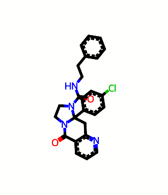 O=C(NCCc1ccccc1)N1CCN2C(=O)c3cccnc3CC12c1ccc(Cl)cc1